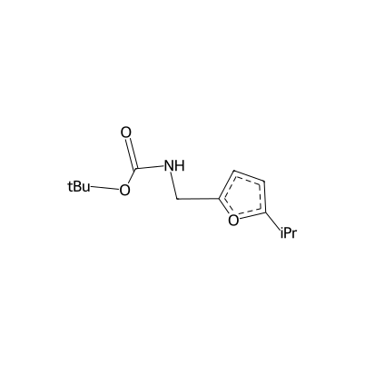 CC(C)c1ccc(CNC(=O)OC(C)(C)C)o1